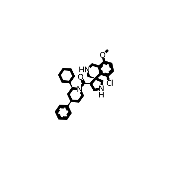 COc1ccc(Cl)c2c1CNC[C@]21CNC[C@H]1C(=O)N1CC[C@@H](c2ccccc2)C[C@H]1C1CCCCC1